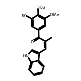 COc1cc(C(=O)C(C)=Cc2c[nH]c3ccccc23)cc(Br)c1OCC(C)C